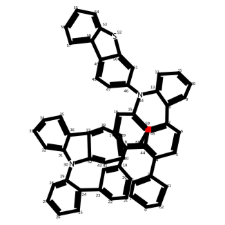 c1ccc(-c2ccc(-c3ccccc3N(c3ccc(-c4cccc(-c5ccccc5-n5c6ccccc6c6ccccc65)c4)cc3)c3ccc4c(c3)sc3ccccc34)cc2)cc1